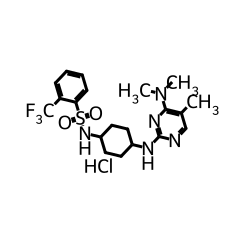 Cc1cnc(NC2CCC(NS(=O)(=O)c3ccccc3C(F)(F)F)CC2)nc1N(C)C.Cl